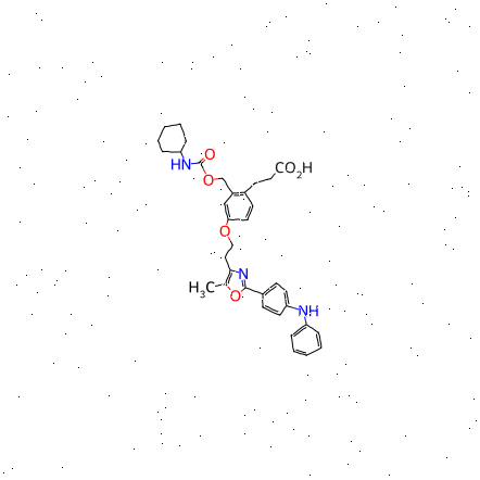 Cc1oc(-c2ccc(Nc3ccccc3)cc2)nc1CCOc1ccc(CCC(=O)O)c(COC(=O)NC2CCCCC2)c1